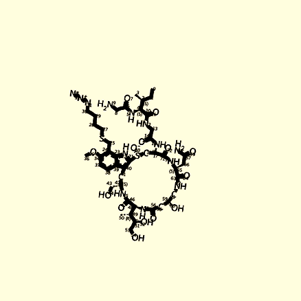 CC[C@H](C)[C@H](NC(=O)CN)C(=O)NCC(=O)N[C@H]1C[S+]([O-])c2[nH]c3c(CSCCCCN=[N+]=[N-])c(OC)ccc3c2C[C@@H](CO)NC(=O)[C@H]([C@@H](C)[C@@H](O)CO)NC(=O)C[C@@H](O)CNC(=O)[C@H](CC(N)=O)NC1=O